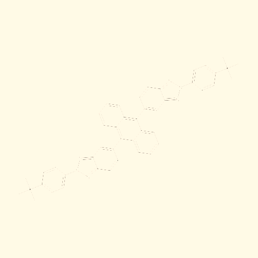 CC(C)(C)c1ccc(-n2nc3ccc(-c4c5ccccc5c(-c5ccc6nn(-c7ccc(C(C)(C)C)cc7)nc6c5)c5ccccc45)cc3n2)cc1